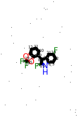 Fc1ccc2[nH]c(F)c(-c3cccc4c3OC(F)(F)O4)c2c1